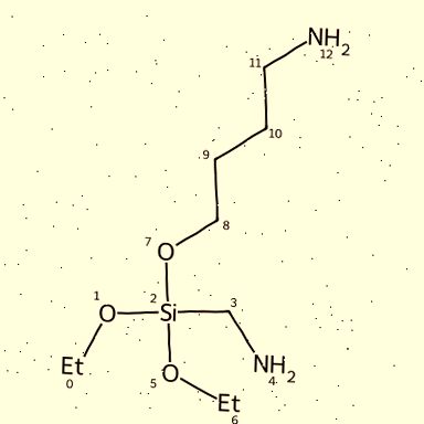 CCO[Si](CN)(OCC)OCCCCN